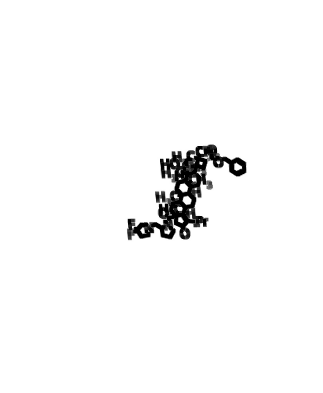 CC(C)C1=C2[C@H]3CC[C@@H]4[C@]5(C)CC[C@H]([C@@]6(C(=O)O)C[C@@H](C(=O)OCc7ccccc7)C6(C)C)C(C)(C)[C@H]5CC[C@@]4(C)[C@]3(C)CC[C@@]2(C(=O)N2CCCC2CN2CCC(F)(F)C2)CC1=O